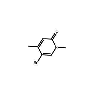 Cc1cc(=O)n(C)cc1Br